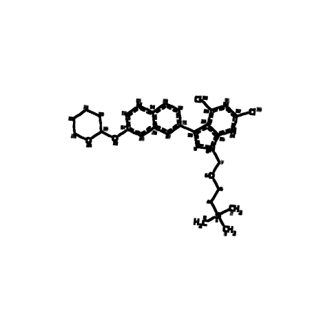 C[Si](C)(C)CCOCn1cc(-c2ccc3ncc(OC4CCCCO4)cc3c2)c2c(Cl)nc(Cl)nc21